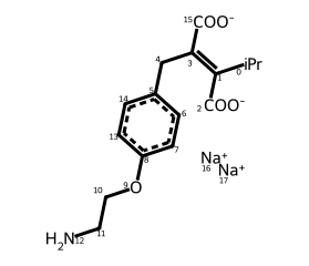 CC(C)C(C(=O)[O-])=C(Cc1ccc(OCCN)cc1)C(=O)[O-].[Na+].[Na+]